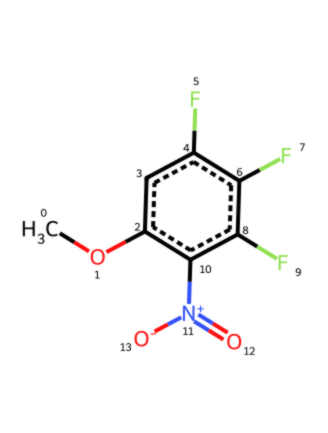 COc1cc(F)c(F)c(F)c1[N+](=O)[O-]